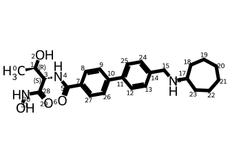 C[C@@H](O)[C@H](NC(=O)c1ccc(-c2ccc(CNC3CCCCCC3)cc2)cc1)C(=O)NO